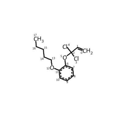 C=CC(Cl)(Cl)Oc1ccccc1OCCCCC